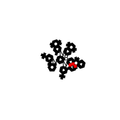 Cc1cc2c(cc1N1c3cc4c(cc3B3c5cc6c(cc5N(c5ccc(C(C)(C)C)cc5-c5ccccc5)c5cc(N7c8ccc(C(C)(C)C)cc8C8(C)CCCCC78C)cc1c53)C(C)(C)c1ccccc1C6(C)C)C(C)(C)CCC4(C)C)C(C)(C)CCC2(C)C